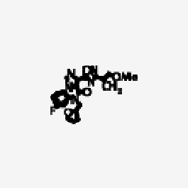 COCC(C)c1noc(C2N=CN3c4ccc(F)cc4N(CC4CCCO4)C(=O)C23)n1